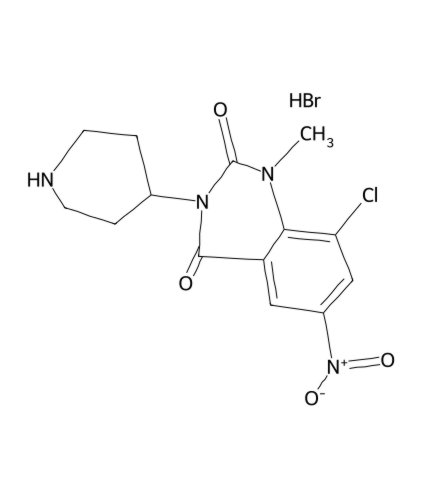 Br.Cn1c(=O)n(C2CCNCC2)c(=O)c2cc([N+](=O)[O-])cc(Cl)c21